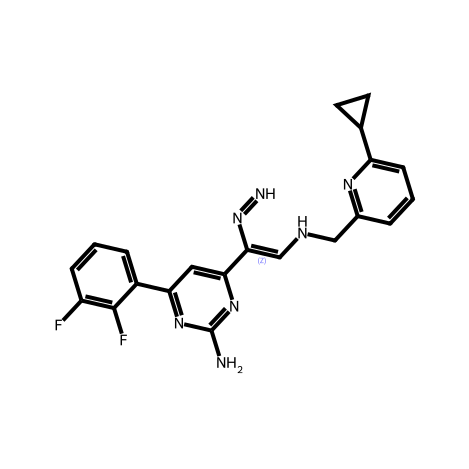 N=N/C(=C\NCc1cccc(C2CC2)n1)c1cc(-c2cccc(F)c2F)nc(N)n1